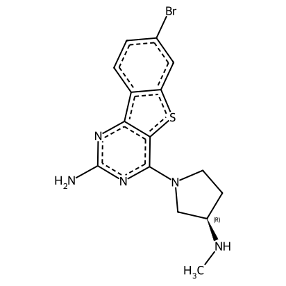 CN[C@@H]1CCN(c2nc(N)nc3c2sc2cc(Br)ccc23)C1